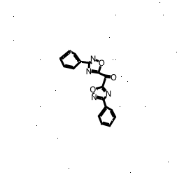 O=C(c1nc(-c2ccccc2)no1)c1nc(-c2ccccc2)no1